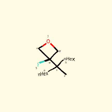 CCCCCCC(C)(CCCCCC)C1(F)COC1